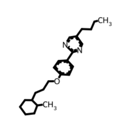 CCCCc1cnc(-c2ccc(OCCCC3CCCCC3C)cc2)nc1